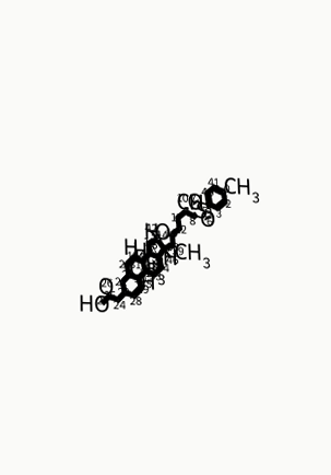 Cc1ccc(S(=O)(=O)CC(C)CCC2O[C@H]3C[C@H]4[C@@H]5CCC6CC(CC(=O)O)C=C[C@]6(C)[C@H]5CC[C@]4(C)[C@H]3[C@@H]2C)cc1